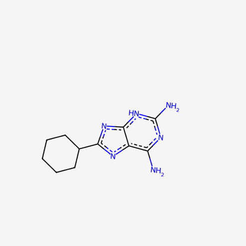 Nc1nc(N)c2nc(C3CCCCC3)nc-2[nH]1